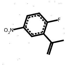 C=C(C)c1cc([N+](=O)[O-])ccc1F